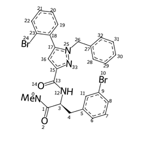 CNC(=O)[C@H](Cc1cccc(Br)c1)NC(=O)c1cc(-c2ccccc2Br)n(Cc2ccccc2)n1